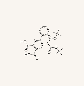 CC(C)(C)OC(=O)N(C(=O)OC(C)(C)C)c1cc(C(=O)O)c(C(=O)O)nc1-c1ccccc1